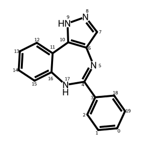 c1ccc(C2=Nc3cn[nH]c3-c3ccccc3N2)cc1